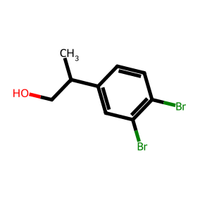 C[C](CO)c1ccc(Br)c(Br)c1